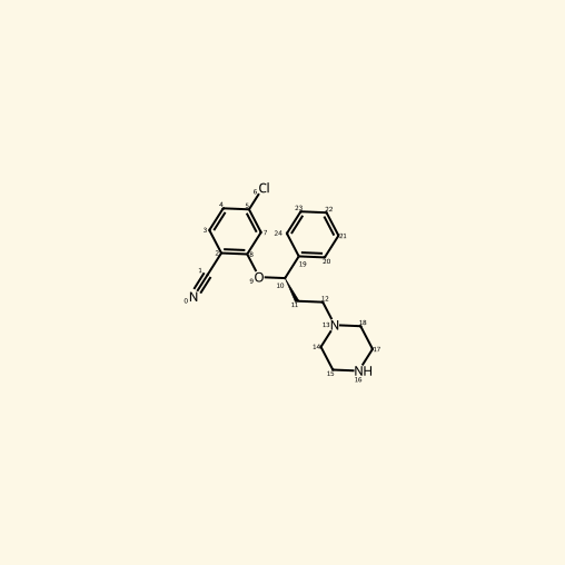 N#Cc1ccc(Cl)cc1O[C@H](CCN1CCNCC1)c1ccccc1